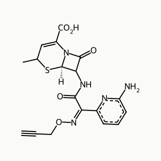 C#CCO/N=C(\C(=O)NC1C(=O)N2C(C(=O)O)=CC(C)S[C@H]12)c1cccc(N)n1